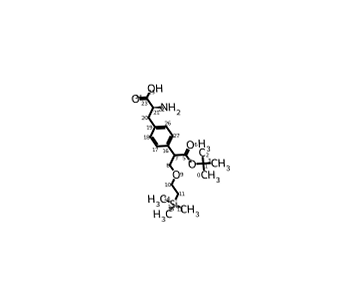 CC(C)(C)OC(=O)C(COCC[Si](C)(C)C)c1ccc(C[C@H](N)C(=O)O)cc1